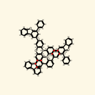 c1ccc(-c2cccc(-c3ccccc3)c2N2c3cc(-c4cc(-c5ccccc5)c5oc6ccccc6c5c4)ccc3B3c4ccc(-c5cc(-c6ccccc6)c6oc7ccccc7c6c5)cc4Oc4cc(-n5c6ccccc6c6ccccc65)cc2c43)cc1